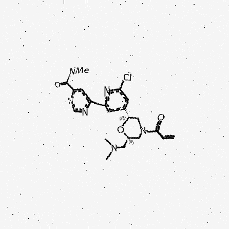 C=CC(=O)N1C[C@@H](CN(C)C)O[C@H](c2cc(Cl)nc(-c3cc(C(=O)NC)ncn3)c2)C1